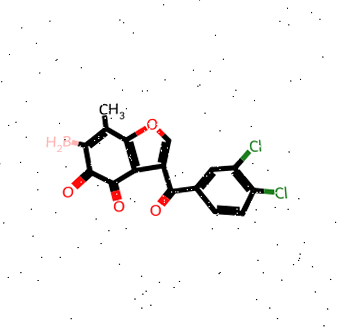 BC1=C(C)c2occ(C(=O)c3ccc(Cl)c(Cl)c3)c2C(=O)C1=O